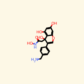 NCc1ccc(C2=COc3cc(O)cc(O)c3C2(O)CC(=O)NO)cc1